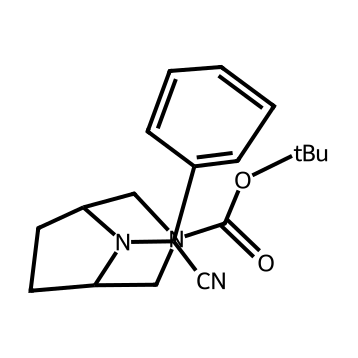 CC(C)(C)OC(=O)N1CC2CCC(C1)N2C(C#N)c1ccccc1